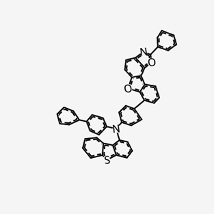 c1ccc(-c2ccc(N(c3ccc(-c4cccc5c4oc4ccc6nc(-c7ccccc7)oc6c45)cc3)c3cccc4sc5ccccc5c34)cc2)cc1